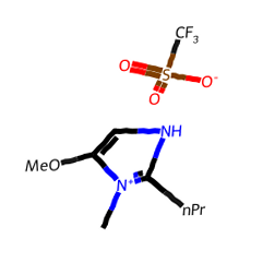 CCCc1[nH]cc(OC)[n+]1C.O=S(=O)([O-])C(F)(F)F